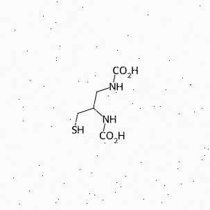 O=C(O)NCC(CS)NC(=O)O